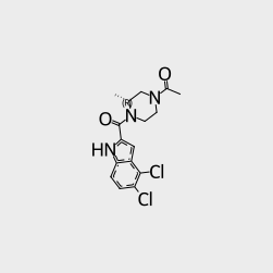 CC(=O)N1CCN(C(=O)c2cc3c(Cl)c(Cl)ccc3[nH]2)[C@H](C)C1